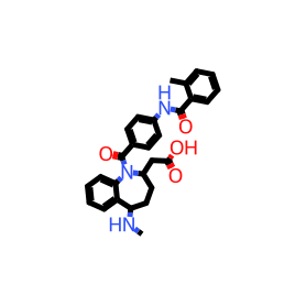 CNC1CCC(CC(=O)O)N(C(=O)c2ccc(NC(=O)c3ccccc3C)cc2)c2ccccc21